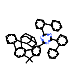 CC1(C)c2ccc(-c3nc(-c4ccccc4-c4ccccc4)nc(-c4ccccc4-c4ccccc4)n3)cc2-c2c1ccc1c2C2(c3ccccc3-1)C1CC3CC(C1)CC2C3